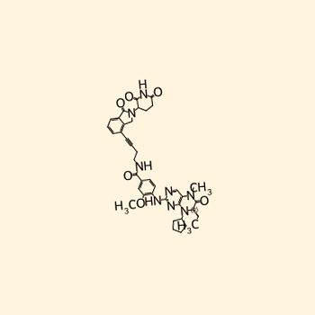 CC[C@@H]1C(=O)N(C)c2cnc(Nc3ccc(C(=O)NCCC#Cc4cccc5c4CN(C4CCC(=O)NC4=O)C5=O)cc3OC)nc2N1C1CCCC1